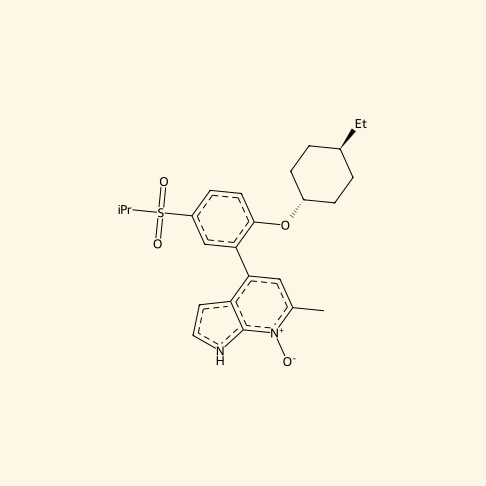 CC[C@H]1CC[C@H](Oc2ccc(S(=O)(=O)C(C)C)cc2-c2cc(C)[n+]([O-])c3[nH]ccc23)CC1